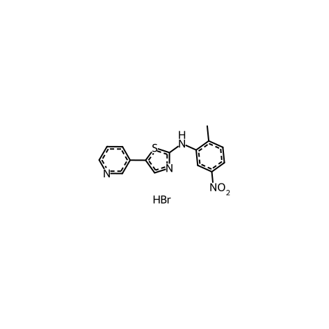 Br.Cc1ccc([N+](=O)[O-])cc1Nc1ncc(-c2cccnc2)s1